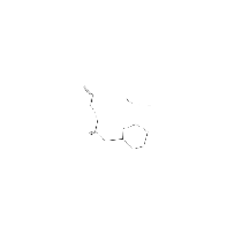 C=CCOC(=O)CC1CCCCC1.CC(=O)O